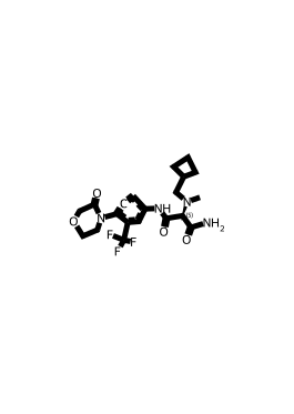 CN(CC1CCC1)[C@@H](C(N)=O)C(=O)Nc1ccc(N2CCOCC2=O)c(C(F)(F)F)c1